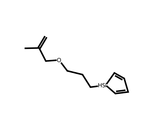 C=C(C)COCCC[SiH]1C=CC=C1